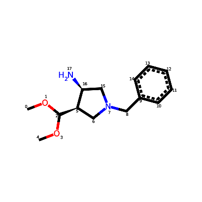 COC(OC)[C@@H]1CN(Cc2ccccc2)C[C@@H]1N